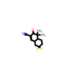 CC1(C)C(=O)C(C#N)=CC2CC(F)(F)CCC21